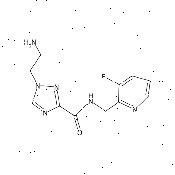 NCCn1cnc(C(=O)NCc2ncccc2F)n1